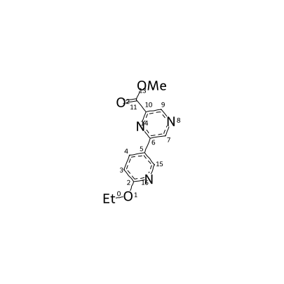 CCOc1ccc(-c2cncc(C(=O)OC)n2)cn1